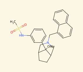 COC1(c2cccc(NS(C)(=O)=O)c2)C2CCC1CN(Cc1cccc3ccccc13)C2